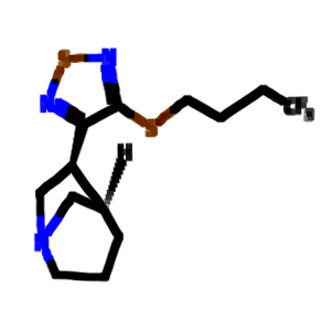 FC(F)(F)CCCSc1nsnc1[C@@H]1CN2CCC[C@H]1C2